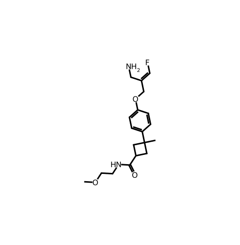 COCCNC(=O)C1CC(C)(c2ccc(OC/C(=C/F)CN)cc2)C1